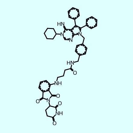 N=c1c2c(-c3ccccc3)c(-c3ccccc3)n(Cc3ccc(CNC(=O)CCCNc4cccc5c4C(=O)N(C4CCC(=O)NC4=O)C5=O)cc3)c2ncn1C1CCCCC1